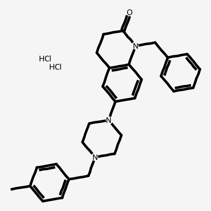 Cc1ccc(CN2CCN(c3ccc4c(c3)CCC(=O)N4Cc3ccccc3)CC2)cc1.Cl.Cl